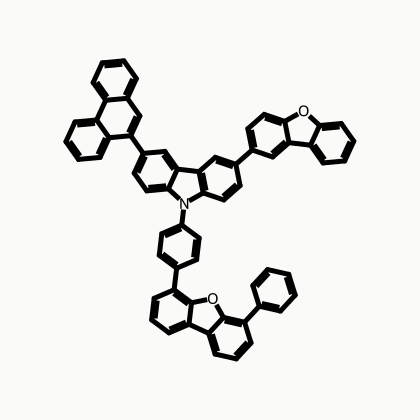 c1ccc(-c2cccc3c2oc2c(-c4ccc(-n5c6ccc(-c7ccc8oc9ccccc9c8c7)cc6c6cc(-c7cc8ccccc8c8ccccc78)ccc65)cc4)cccc23)cc1